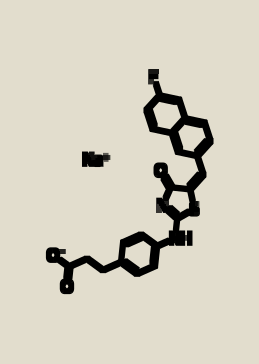 O=C([O-])CCc1ccc(NC2=NC(=O)C(=Cc3ccc4cc(F)ccc4c3)S2)cc1.[Na+]